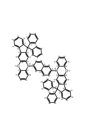 c1ccc(C2(c3ccccc3)c3ccccc3-c3cc4c(cc32)N(c2ccc3cc(N5c6ccccc6Oc6cc7c(cc65)C(c5ccccc5)(c5ccccc5)c5ccccc5-7)ccc3c2)c2ccccc2O4)cc1